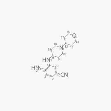 N#Cc1ccc(N)c(NC2CCN(C3CCOCC3)CC2)c1